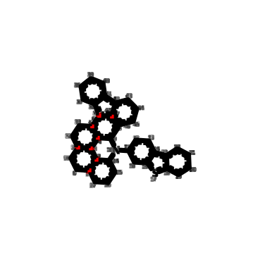 c1ccc(-c2ccccc2N(c2ccc3c(c2)sc2ccccc23)c2ccccc2-c2cccc(-n3c4ccccc4c4ccccc43)c2)cc1